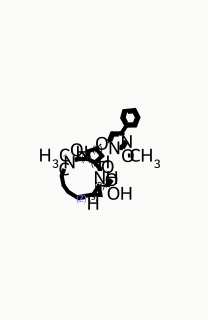 COc1nc(O[C@@H]2C[C@H]3C(=O)N[C@]4(C(=O)O)C[C@H]4/C=C\CCCCN(C)C(=O)[C@@H]3C2)cc(-c2ccccc2)n1